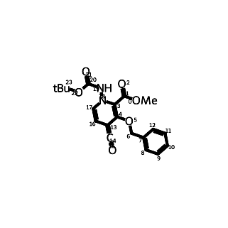 COC(=O)C1=C(OCc2ccccc2)C(=C=O)C=CN1NC(=O)OC(C)(C)C